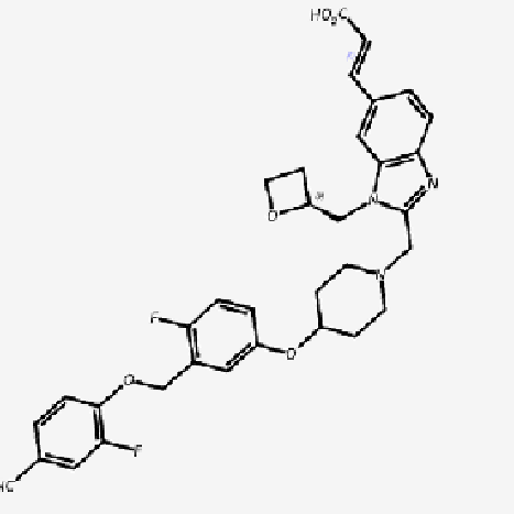 N#Cc1ccc(OCc2cc(OC3CCN(Cc4nc5ccc(/C=C/C(=O)O)cc5n4C[C@@H]4CCO4)CC3)ccc2F)c(F)c1